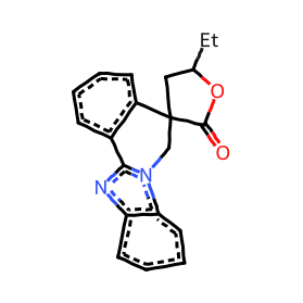 CCC1CC2(Cn3c(nc4ccccc43)-c3ccccc32)C(=O)O1